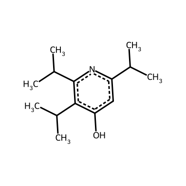 CC(C)c1cc(O)c(C(C)C)c(C(C)C)n1